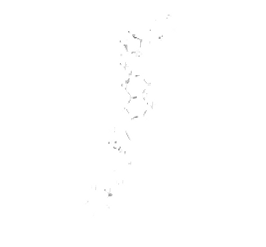 C1=C(c2cnc3ccc(Nc4nnc(C5CCCO5)s4)nc3c2)CNN1CCCN1CCCC1